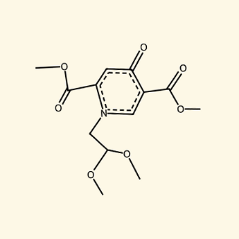 COC(=O)c1cn(CC(OC)OC)c(C(=O)OC)cc1=O